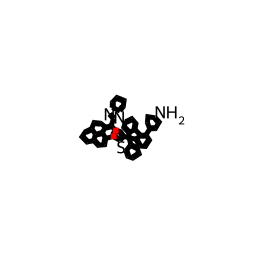 NC1=CC=C(c2cccc3c2-c2ccc(-n4c(-c5ccc6ccc7cccc8ccc5c6c78)nc5ccccc54)cc2C32c3ccccc3Sc3ccccc32)CC1